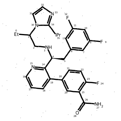 CCC(CN[C@@H](Cc1cc(F)cc(F)c1)c1ncccc1-c1ccc(F)c(C(N)=O)c1)n1ccnc1C(C)C